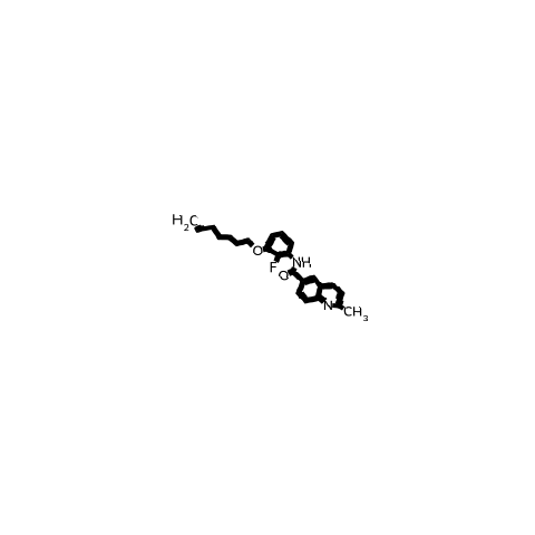 C=CCCCCCOc1cccc(NC(=O)c2ccc3nc(C)ccc3c2)c1F